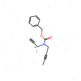 C#C[C@@H](C)N(CC#CC)C(=O)OCc1ccccc1